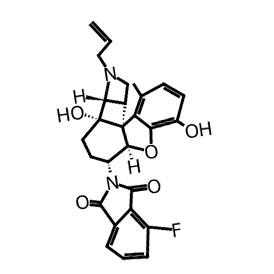 C=CCN1CC2[C@@H]1[C@]1(O)CC[C@@H](N3C(=O)c4cccc(F)c4C3=O)[C@@H]3Oc4c(O)ccc(C)c4[C@@]231